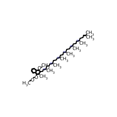 CCOCOc1c(C)c(C/C=C(\C)CC/C=C(\C)CC/C=C(\C)CC/C=C(\C)CC/C=C(\C)CC/C=C(\C)CCC=C(C)C)c(OCC)c2ccccc12